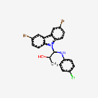 CC(O)C(Nc1ccc(Cl)cc1)n1c2ccc(Br)cc2c2cc(Br)ccc21